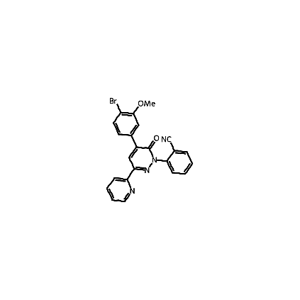 COc1cc(-c2cc(-c3ccccn3)nn(-c3ccccc3C#N)c2=O)ccc1Br